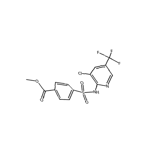 COC(=O)c1ccc(S(=O)(=O)Nc2ncc(C(F)(F)F)cc2Cl)cc1